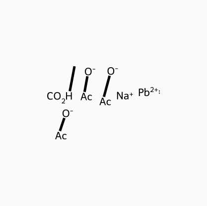 CC(=O)O.CC(=O)[O-].CC(=O)[O-].CC(=O)[O-].[Na+].[Pb+2]